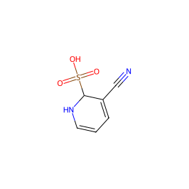 N#CC1=CC=CNC1S(=O)(=O)O